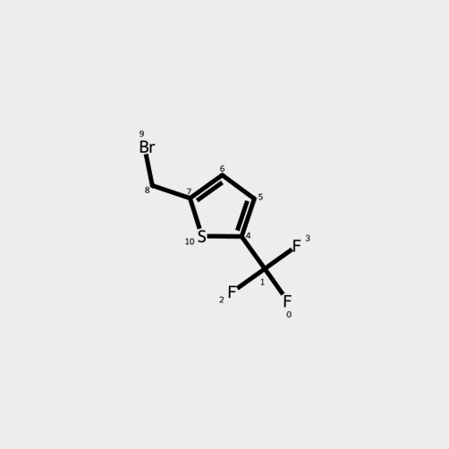 FC(F)(F)c1ccc(CBr)s1